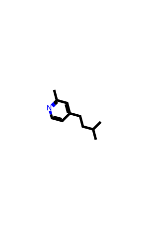 Cc1cc(CCC(C)C)ccn1